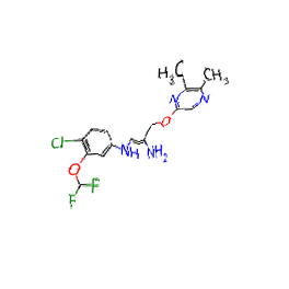 Cc1ncc(OC/C(N)=C/Nc2ccc(Cl)c(OC(F)F)c2)nc1C